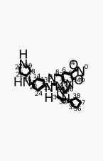 CN(C)C(=O)c1cc2cnc(Nc3ccc(NC4CCNCC4)cc3)nc2n(Cc2nccn2C2=CCCC2)c1=O